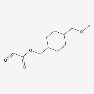 COCC1CCC(COC(=O)C=O)CC1